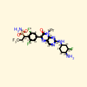 CC(C)n1c(=O)c(-c2cc(F)c(C(CC(F)(F)F)S(N)(=O)=O)c(F)c2)nc2cnc(NC3CCC(N)C(F)C3)nc21